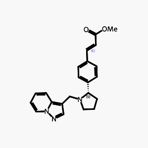 COC(=O)/C=C/c1ccc([C@@H]2CCCN2Cc2cnn3ccccc23)cc1